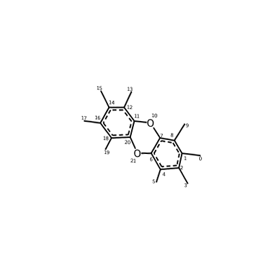 Cc1c(C)c(C)c2c(c1C)Oc1c(C)c(C)c(C)c(C)c1O2